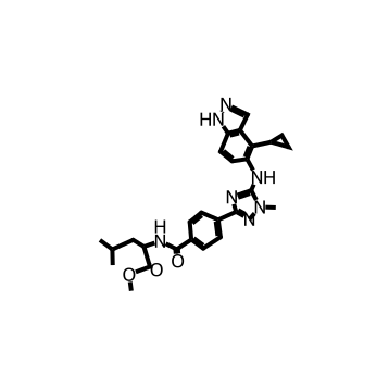 COC(=O)C(CC(C)C)NC(=O)c1ccc(-c2nc(Nc3ccc4[nH]ncc4c3C3CC3)n(C)n2)cc1